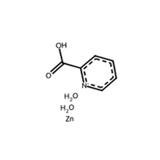 O.O.O=C(O)c1ccccn1.[Zn]